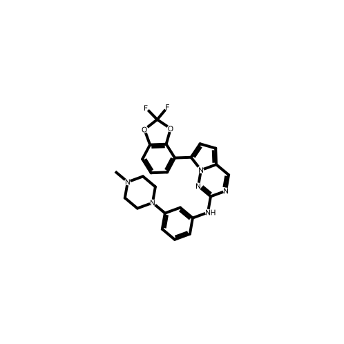 CN1CCN(c2cccc(Nc3ncc4ccc(-c5cccc6c5OC(F)(F)O6)n4n3)c2)CC1